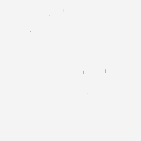 COc1cc(C=CC(=O)N2CCN(Cc3ccc(F)cc3)C[C@H]2C)[c]cc1Cl